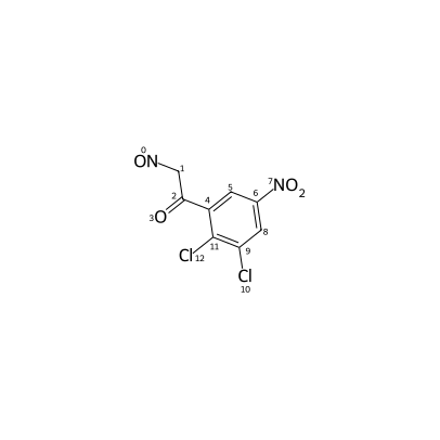 O=NCC(=O)c1cc([N+](=O)[O-])cc(Cl)c1Cl